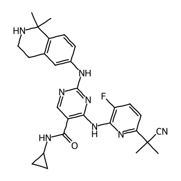 CC(C)(C#N)c1ccc(F)c(Nc2nc(Nc3ccc4c(c3)CCNC4(C)C)ncc2C(=O)NC2CC2)n1